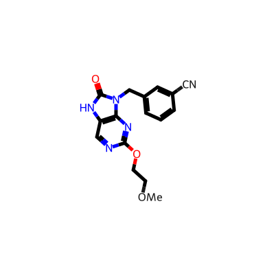 COCCOc1ncc2[nH]c(=O)n(Cc3cccc(C#N)c3)c2n1